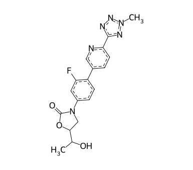 CC(O)C1CN(c2ccc(-c3ccc(-c4nnn(C)n4)nc3)c(F)c2)C(=O)O1